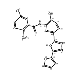 COc1ccc(Cl)cc1C(=O)Nc1cc(-c2nnc(-c3ccco3)o2)ccc1O